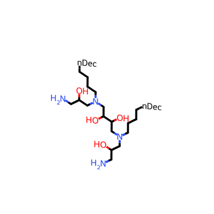 CCCCCCCCCCCCCCN(CC(O)CN)CC(O)C(O)CN(CCCCCCCCCCCCCC)CC(O)CN